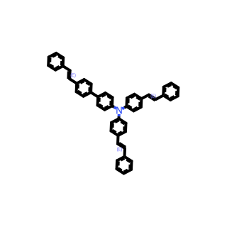 C(=C\c1ccc(-c2ccc(N(c3ccc(/C=C/c4ccccc4)cc3)c3ccc(/C=C/c4ccccc4)cc3)cc2)cc1)/c1ccccc1